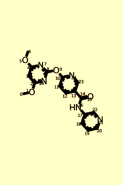 COc1cc(OC)nc(Oc2ccc(C(=O)Nc3cccnc3)cn2)n1